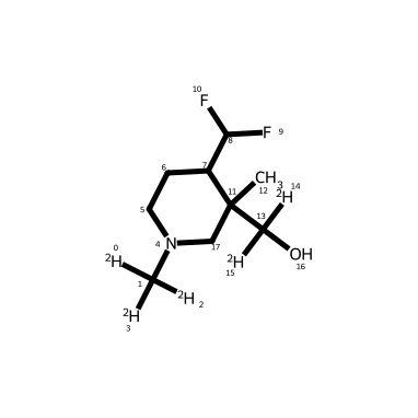 [2H]C([2H])([2H])N1CCC(C(F)F)C(C)(C([2H])([2H])O)C1